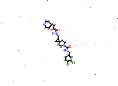 O=C(NCC1CC12CCN(C(=O)NCc1ccc(Cl)c(Cl)c1)CC2)c1cc2ccncc2o1